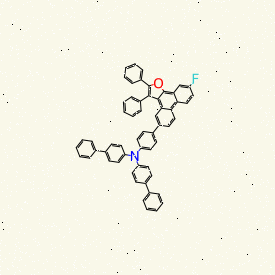 Fc1ccc2c3ccc(-c4ccc(N(c5ccc(-c6ccccc6)cc5)c5ccc(-c6ccccc6)cc5)cc4)cc3c3c(-c4ccccc4)c(-c4ccccc4)oc3c2c1